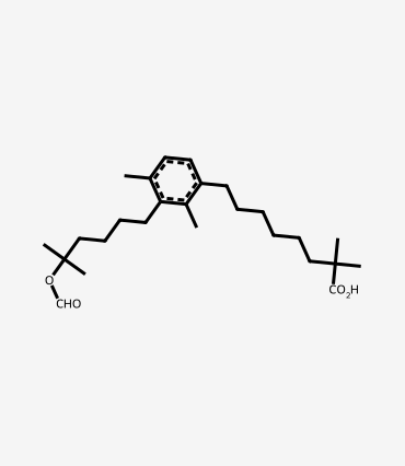 Cc1ccc(CCCCCCC(C)(C)C(=O)O)c(C)c1CCCCC(C)(C)OC=O